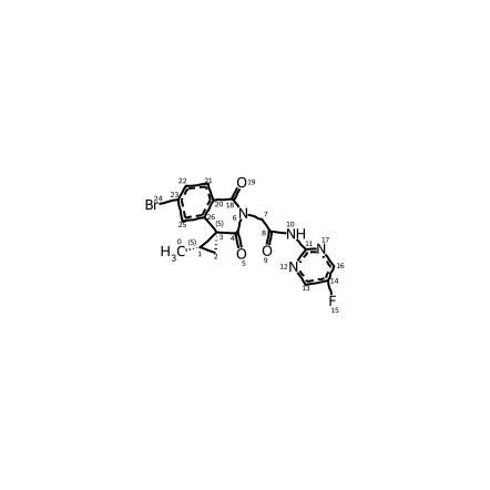 C[C@H]1C[C@]12C(=O)N(CC(=O)Nc1ncc(F)cn1)C(=O)c1ccc(Br)cc12